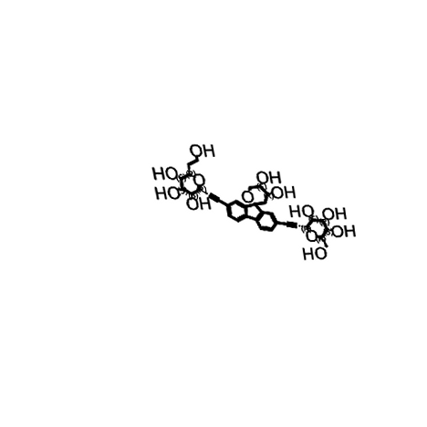 OCC[C@H]1O[C@H](C#Cc2ccc3c(c2)C2(C[C@@H](O)[C@@H](O)CO2)c2cc(C#C[C@H]4O[C@H](CO)[C@@H](O)[C@H](O)[C@@H]4O)ccc2-3)[C@@H](O)[C@@H](O)[C@@H]1O